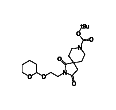 CC(C)(C)OC(=O)N1CCC2(CC1)CC(=O)N(CCOC1CCCCO1)C2=O